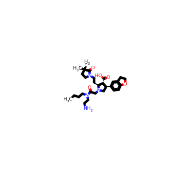 CCCCN(CCN)C(=O)CN1C[C@H](c2ccc3c(c2)CCO3)[C@@H](C(=O)O)[C@@H]1CCN1CCC(C)(C)C1=O